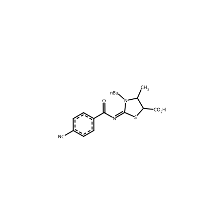 CCCCN1C(=NC(=O)c2ccc(C#N)cc2)SC(C(=O)O)C1C